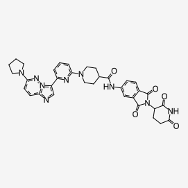 O=C1CCC(N2C(=O)c3ccc(NC(=O)C4CCN(c5cccc(-c6cnc7ccc(N8CCCC8)nn67)n5)CC4)cc3C2=O)C(=O)N1